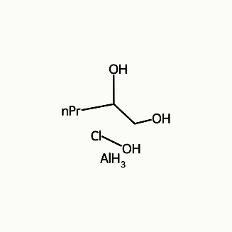 CCCC(O)CO.OCl.[AlH3]